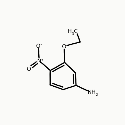 CCOc1cc(N)ccc1[N+](=O)[O-]